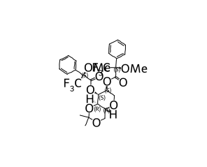 CO[C@](C(=O)O[C@@H]1[C@@H]2OC(C)(C)OC[C@H]2OC[C@@H]1OC(=O)[C@@](OC)(c1ccccc1)C(F)(F)F)(c1ccccc1)C(F)(F)F